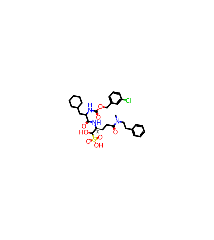 CN(CCc1ccccc1)C(=O)CC[C@H](NC(=O)C(CC1CCCCC1)NC(=O)OCc1cccc(Cl)c1)C(O)S(=O)(=O)O